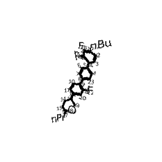 CCCCc1ccc(-c2ccc(-c3ccc(C4CCC(CCC)OC4)cc3F)cc2)c(F)c1F